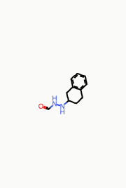 O=CNNC1CCc2ccccc2C1